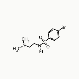 CCN(CCN(C)C)S(=O)(=O)c1ccc(Br)cc1